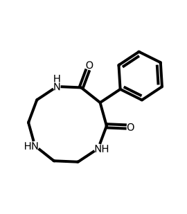 O=C1NCCNCCNC(=O)C1c1ccccc1